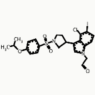 CC(C)Oc1ccc(S(=O)(=O)N2CCC(c3cn(CC=O)c4ccc(I)c(Cl)c34)C2)cc1